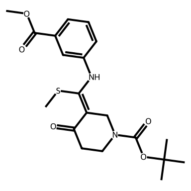 COC(=O)c1cccc(N/C(SC)=C2\CN(C(=O)OC(C)(C)C)CCC2=O)c1